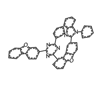 c1ccc(-c2nc(-c3ccc4c(c3)oc3ccccc34)nc(-c3cccc4oc5ccc(-c6nc7ccccc7n6-c6ccccc6)cc5c34)n2)cc1